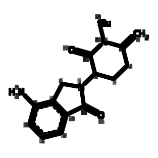 C=C1CCC(N2Cc3c(N)cccc3C2=O)C(=O)N1C(C)(C)C